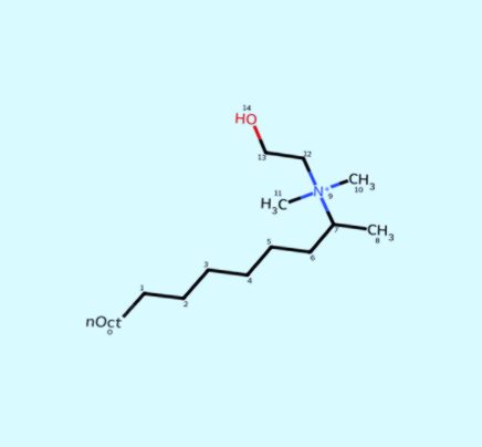 CCCCCCCCCCCCCCC(C)[N+](C)(C)CCO